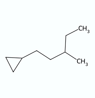 CCC(C)CCC1CC1